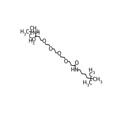 CC(C)(C)CCCCNC(=O)CCOCCOCCOCCOCCC(=O)NC(C)(C)C